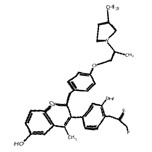 CC1=C(c2ccc(C(F)F)c(O)c2)C(c2ccc(OCC(C)N3CCC(C)C3)cc2)Oc2ccc(O)cc21